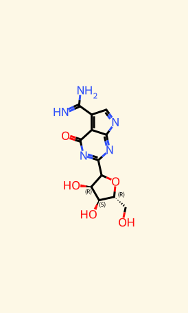 N=C(N)C1=C2C(=O)N=C(C3O[C@H](CO)[C@@H](O)[C@H]3O)N=C2N=C1